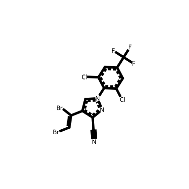 N#Cc1nn(-c2c(Cl)cc(C(F)(F)F)cc2Cl)cc1/C(Br)=C/Br